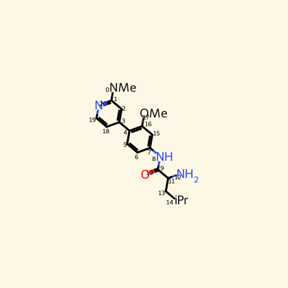 CNc1cc(-c2ccc(NC(=O)C(N)CC(C)C)cc2OC)ccn1